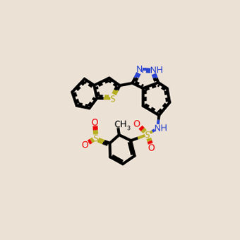 CC1C(S(=O)(=O)Nc2ccc3[nH]nc(-c4cc5ccccc5s4)c3c2)=CC=CC1=S(=O)=O